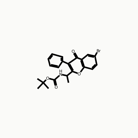 CC(NC(=O)OC(C)(C)C)c1oc2ccc(Br)cc2c(=O)c1-c1ccccc1